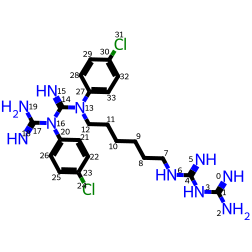 N=C(N)NC(=N)NCCCCCCN(C(=N)N(C(=N)N)c1ccc(Cl)cc1)c1ccc(Cl)cc1